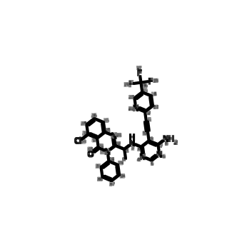 CC(Nc1ncnc(N)c1C#Cc1ccc(C(F)(F)F)cn1)c1nc2cccc(Cl)c2c(=O)n1-c1ccccc1